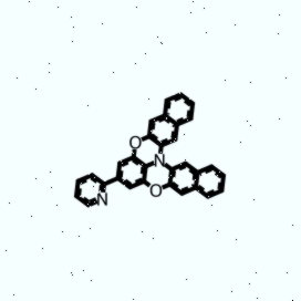 c1ccc(-c2cc3c4c(c2)Oc2cc5ccccc5cc2N4c2cc4ccccc4cc2O3)nc1